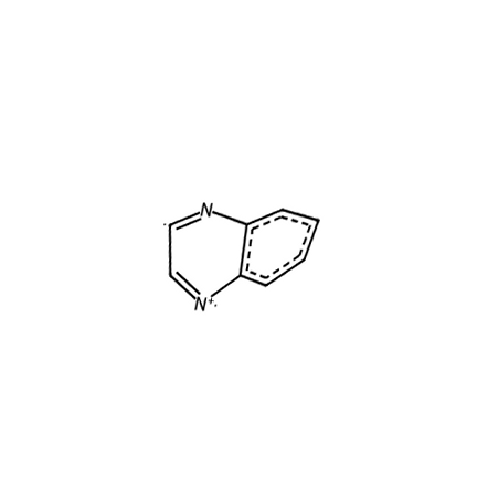 [C]1=Nc2ccccc2[N+]=C1